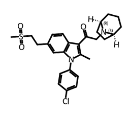 Cc1c(C(=O)CN2[C@@H]3CCC[C@H]2CC3)c2ccc(CCS(C)(=O)=O)cc2n1-c1ccc(Cl)cc1